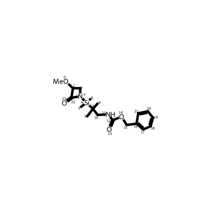 COC1CN([Si](C)(C)C(C)(C)CNC(=O)OCc2ccccc2)C1=O